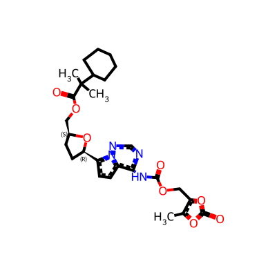 Cc1oc(=O)oc1COC(=O)Nc1ncnn2c([C@H]3CC[C@@H](COC(=O)C(C)(C)C4CCCCC4)O3)ccc12